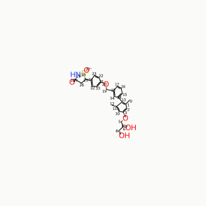 Cc1cc(OC[C@H](O)CO)cc(C)c1-c1cccc(COc2ccc(C3CC(=O)N[S+]3[O-])cc2)c1